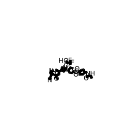 C=CC(=O)Nc1ccc(S(=O)(=O)N2CCC(n3cc(-c4cc(OC)c5c(C#N)cnn5c4)cn3)CC2)cc1.O=C(O)C(F)(F)F